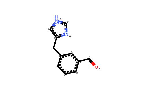 O=Cc1cccc(Cc2c[nH]cn2)c1